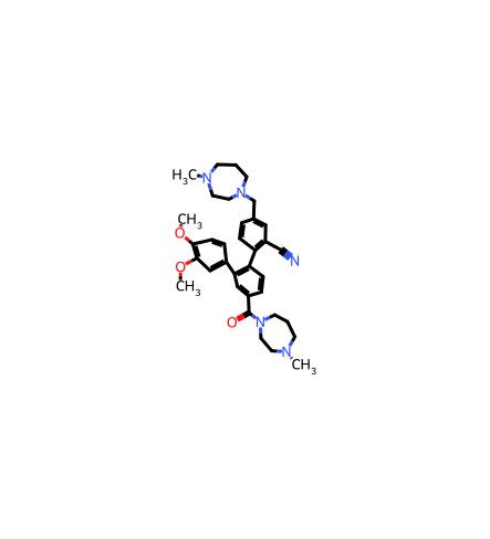 COc1ccc(-c2cc(C(=O)N3CCCN(C)CC3)ccc2-c2ccc(CN3CCCN(C)CC3)cc2C#N)cc1OC